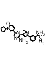 CC(N)c1cccc(-c2cc(-c3nc(-c4ccc(=O)n(C5CCCC5)c4)cnc3N)on2)c1